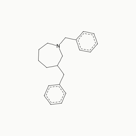 c1ccc(CC2CCCCN(Cc3ccccc3)C2)cc1